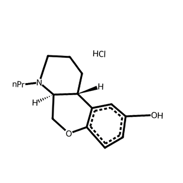 CCCN1CCC[C@@H]2c3cc(O)ccc3OC[C@H]21.Cl